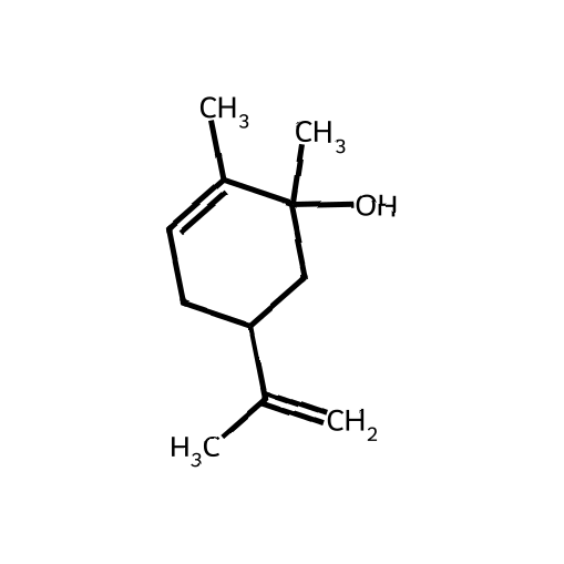 C=C(C)C1CC=C(C)C(C)(O)C1